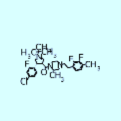 Cc1ccc(CCN2CCN(C(=O)[C@@H]3CN(C(C)(C)C)C[C@H]3c3ccc(Cl)cc3F)[C@@H](C)C2)c(F)c1F